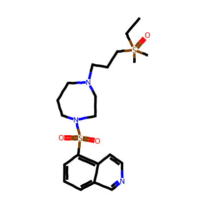 CCS(C)(C)(=O)CCCN1CCCN(S(=O)(=O)c2cccc3cnccc23)CC1